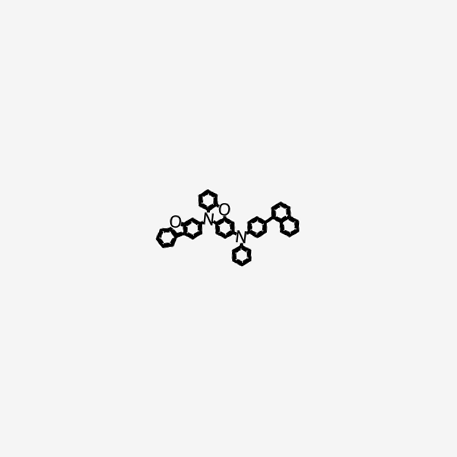 c1ccc(N(c2ccc(-c3cccc4ccccc34)cc2)c2ccc3c(c2)Oc2ccccc2N3c2ccc3c(c2)oc2ccccc23)cc1